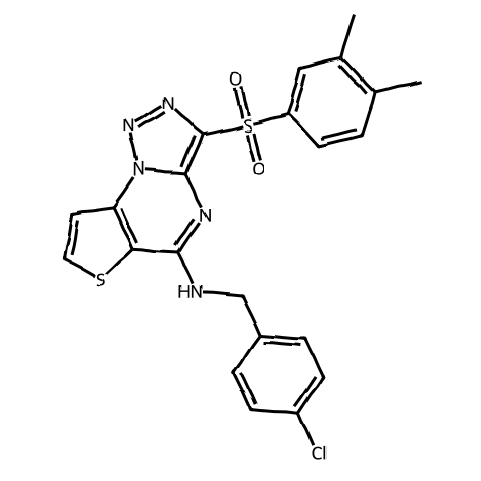 Cc1ccc(S(=O)(=O)c2nnn3c2nc(NCc2ccc(Cl)cc2)c2sccc23)cc1C